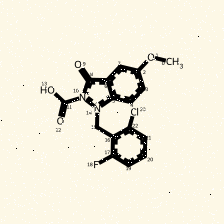 COc1ccc2c(c1)c(=O)n(C(=O)O)n2Cc1c(F)cccc1Cl